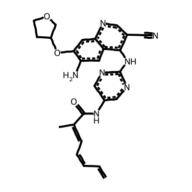 C=C/C=C\C=C(/C)C(=O)Nc1cnc(Nc2c(C#N)cnc3cc(OC4CCOC4)c(N)cc23)nc1